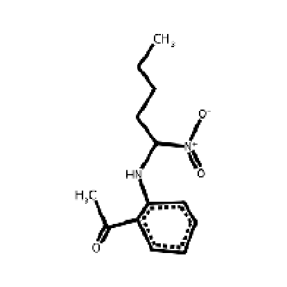 CCCCC(Nc1ccccc1C(C)=O)[N+](=O)[O-]